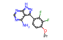 CC(C)Oc1ccc(-c2n[nH]c3ncnc(N)c23)c(F)c1F